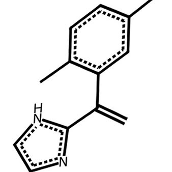 C=C(c1ncc[nH]1)c1cc(C)ccc1C